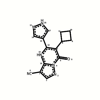 N#Cc1cnn2c(=O)c(C3CCC3)c(-c3cn[nH]c3)[nH]c12